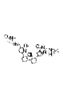 COc1nc(-c2cccc(-c3cccc(-c4cc5c(=O)n(C)c(CNCC6(F)CC6)nn5c4)c3Cl)c2Cl)ccc1CNC[C@@H]1CCC(=O)N1